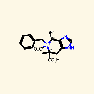 CC(C)[C@H]1c2nc[nH]c2C[C@@](C)(C(=O)O)[N+]1(Cc1ccccc1)C(=O)O